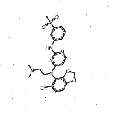 CN(C)CCN(c1ccnc(Nc2cccc(S(C)(=O)=O)c2)n1)c1c(Cl)ccc2c1OCO2